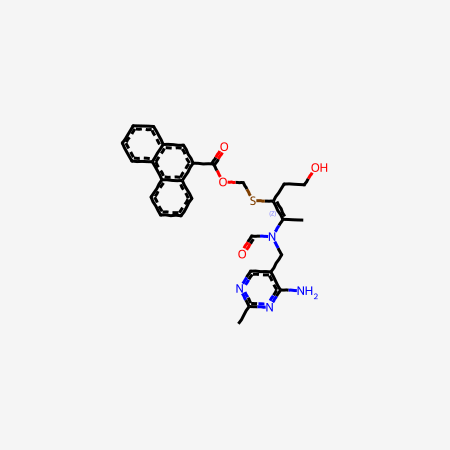 C/C(=C(\CCO)SCOC(=O)c1cc2ccccc2c2ccccc12)N(C=O)Cc1cnc(C)nc1N